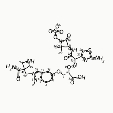 C[n+]1c2ccc(OC[C@H](O/N=C(\C(=O)N[C@@H]3C(=O)N(OS(=O)(=O)[O-])C3(C)C)c3csc(N)n3)C(=O)O)cc2cn1CC1(C(N)=O)CNC1